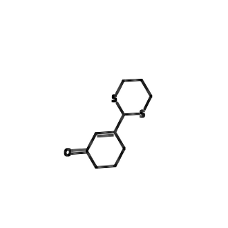 O=C1C=C(C2SCCCS2)CCC1